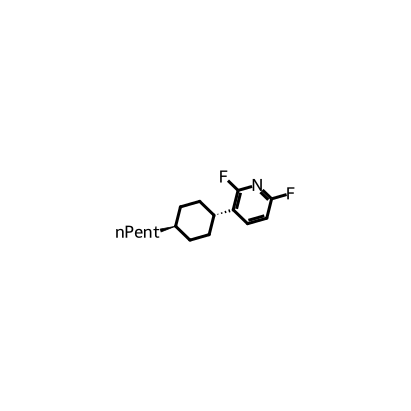 CCCCC[C@H]1CC[C@H](c2ccc(F)nc2F)CC1